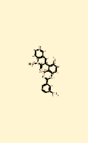 Cc1cccc(C(=O)Nc2ccc(Cl)c(-c3cc4cnccc4n(C)c3=O)c2Cl)c1